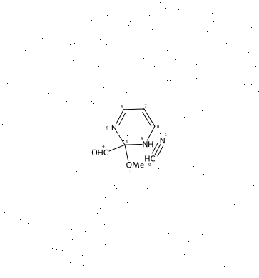 C#N.COC1(C=O)N=CC=CN1